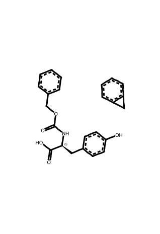 O=C(N[C@@H](Cc1ccc(O)cc1)C(=O)O)OCc1ccccc1.c1ccc2c(c1)C2